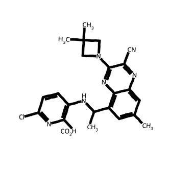 Cc1cc(C(C)Nc2ccc(Cl)nc2C(=O)O)c2nc(N3CC(C)(C)C3)c(C#N)nc2c1